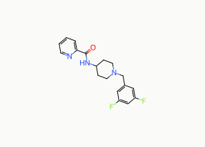 O=C(NC1CCN(Cc2cc(F)cc(F)c2)CC1)c1ccccn1